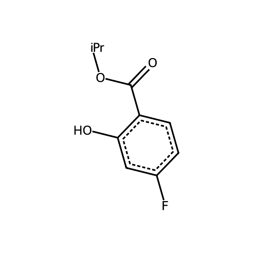 CC(C)OC(=O)c1ccc(F)cc1O